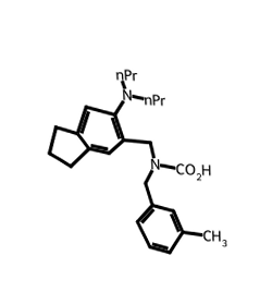 CCCN(CCC)c1cc2c(cc1CN(Cc1cccc(C)c1)C(=O)O)CCC2